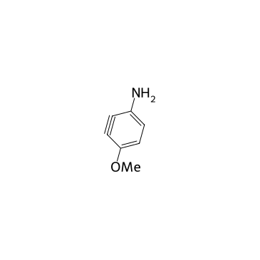 COc1c#cc(N)cc1